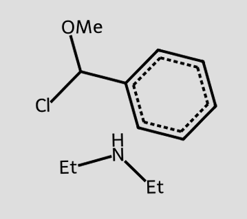 CCNCC.COC(Cl)c1ccccc1